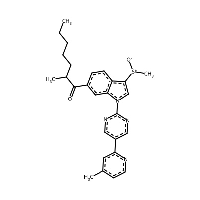 CCCCCC(C)C(=O)c1ccc2c([S+](C)[O-])cn(-c3ncc(-c4cc(C)ccn4)cn3)c2c1